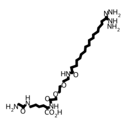 NCC(=O)NCCCCC(NC(=O)COCCOCCNC(=O)CCCCCCCCCCCCCCC/C(=N/N)NN)C(=O)O